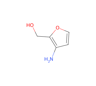 Nc1ccoc1CO